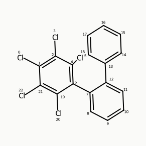 Clc1c(Cl)c(Cl)c(-c2ccccc2-c2ccccc2)c(Cl)c1Cl